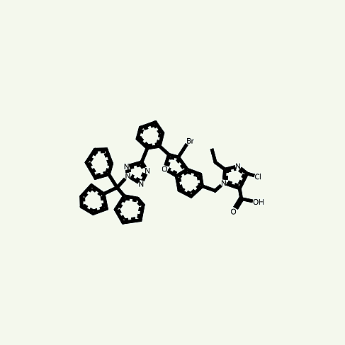 CCc1nc(Cl)c(C(=O)O)n1Cc1ccc2oc(-c3ccccc3-c3nnn(C(c4ccccc4)(c4ccccc4)c4ccccc4)n3)c(Br)c2c1